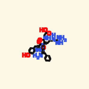 N=C(N)NCCC[C@@H](NC(=O)[C@H](Cc1ccc(O)cc1)NC(=O)[C@H](N)Cc1ccccc1)C(=O)NCC(=O)O